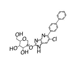 OCC1OC[C@H](Oc2nc3nc(-c4ccc(-c5ccccc5)cc4)c(Cl)cc3[nH]2)C(O)C1O